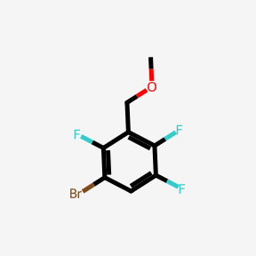 COCc1c(F)c(F)cc(Br)c1F